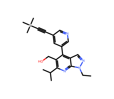 CCn1ncc2c(-c3cncc(C#C[Si](C)(C)C)c3)c(CO)c(C(C)C)nc21